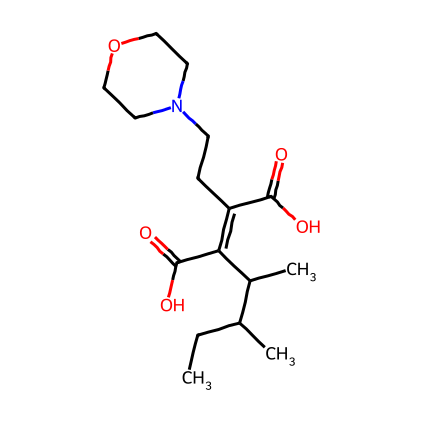 CCC(C)C(C)/C(C(=O)O)=C(/CCN1CCOCC1)C(=O)O